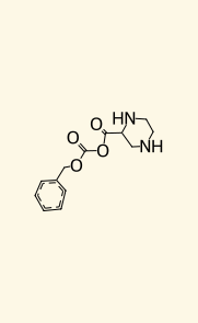 O=C(OCc1ccccc1)OC(=O)C1CNCCN1